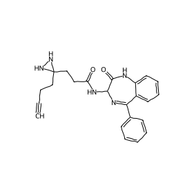 C#CCCC1(CCC(=O)NC2N=C(c3ccccc3)c3ccccc3NC2=O)NN1